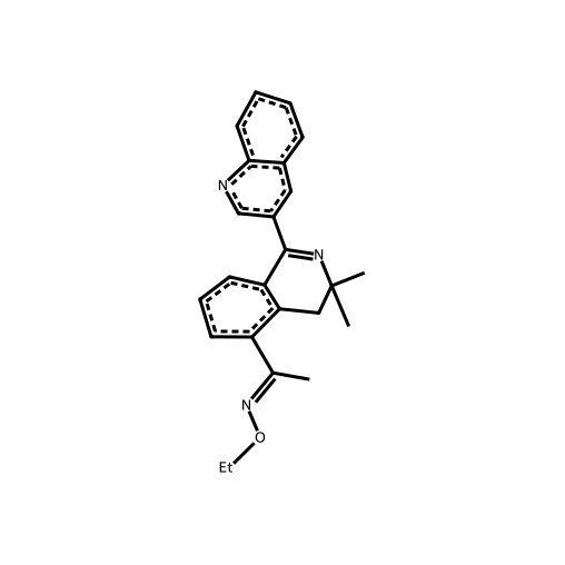 CCO/N=C(\C)c1cccc2c1CC(C)(C)N=C2c1cnc2ccccc2c1